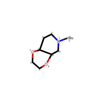 CC(C)(C)N1CCC2OCCOC2C1